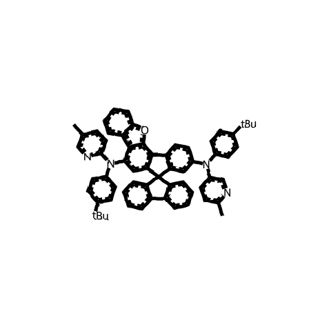 Cc1ccc(N(c2ccc(C(C)(C)C)cc2)c2cc3c(c4oc5ccccc5c24)-c2ccc(N(c4ccc(C(C)(C)C)cc4)c4ccc(C)nc4)cc2C32c3ccccc3-c3ccccc32)nc1